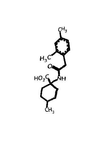 Cc1ccc(CC(=O)NC2(C(=O)O)CCC(C)CC2)c(C)c1